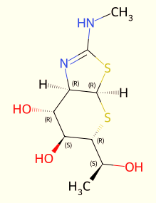 CNC1=N[C@H]2[C@@H](S1)S[C@H]([C@H](C)O)[C@@H](O)[C@@H]2O